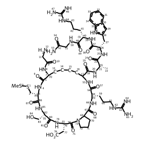 CSSC[C@@H]1NC(=O)[C@@H](NC(=O)CN)CCCCC(C(=O)N[C@@H](C)C(=O)N[C@@H](Cc2cc3ccccc3[nH]2)C(=O)N[C@@H](CCCNC(=N)N)C(=O)NCC(N)=O)NC(=O)[C@H](CCCNC(=N)N)NC(=O)C2CCCN2C(=O)[C@H](CC(=O)O)NC(=O)[C@H](CO)NC1=O